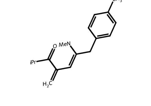 C=C(/C=C(/Cc1ccc(C)cc1)NC)C(=O)C(C)C